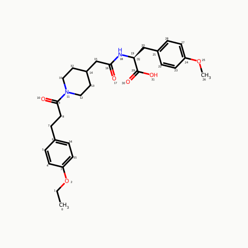 CCOc1ccc(CCC(=O)N2CCC(CC(=O)N[C@@H](Cc3ccc(OC)cc3)C(=O)O)CC2)cc1